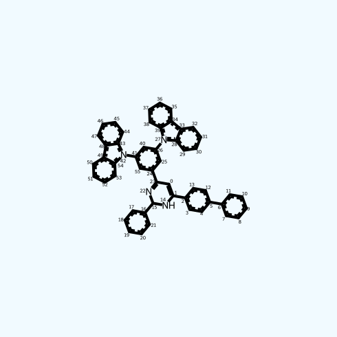 C1=C(c2ccc(-c3ccccc3)cc2)NC(c2ccccc2)N=C1c1cc(-n2c3ccccc3c3ccccc32)cc(-n2c3ccccc3c3ccccc32)c1